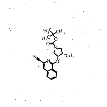 C[C@H]1CN(C(=O)OC(C)(C)C)C[C@@H]1Oc1nc(C#N)cc2ccccc12